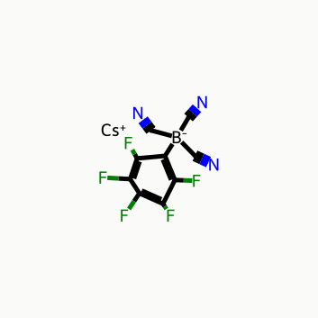 N#C[B-](C#N)(C#N)c1c(F)c(F)c(F)c(F)c1F.[Cs+]